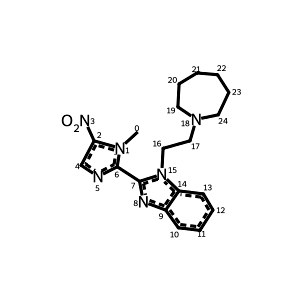 Cn1c([N+](=O)[O-])cnc1-c1nc2ccccc2n1CCN1CCCCCC1